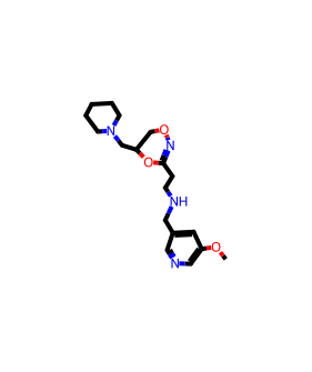 COc1cncc(CNCCC2=NOCC(CN3CCCCC3)O2)c1